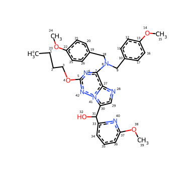 CCCCOc1nc(N(Cc2ccc(OC)cc2)Cc2ccc(OC)cc2)c2ncc(C(O)c3cccc(OC)n3)n2n1